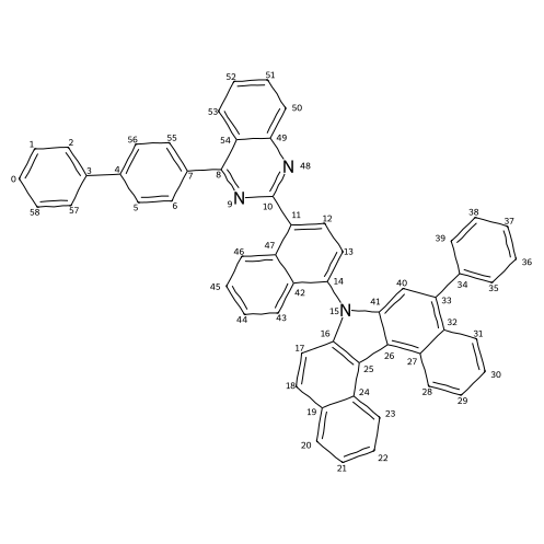 c1ccc(-c2ccc(-c3nc(-c4ccc(-n5c6ccc7ccccc7c6c6c7ccccc7c(-c7ccccc7)cc65)c5ccccc45)nc4ccccc34)cc2)cc1